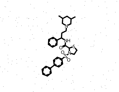 CC1CC(C)CN(CCC(NC(=O)C2SCCN2S(=O)(=O)c2ccc(-c3ccccc3)cc2)c2ccccc2)C1